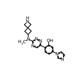 CN(c1ncc(-c2ccc(-n3ccnc3)cc2O)nn1)C1CC2(CNC2)C1